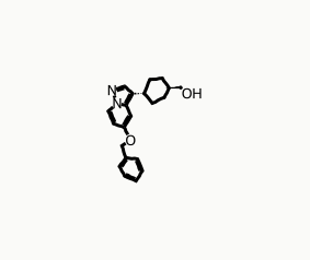 OC[C@H]1CC[C@H](c2cnn3ccc(OCc4ccccc4)cc23)CC1